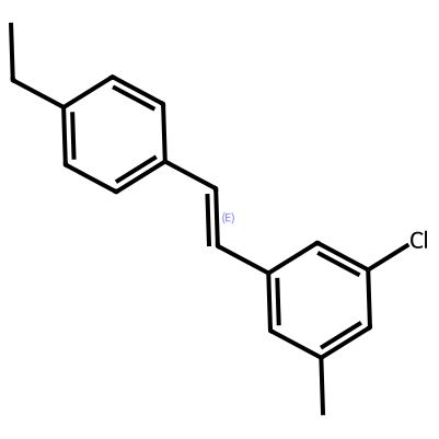 CCc1ccc(/C=C/c2cc(C)cc(Cl)c2)cc1